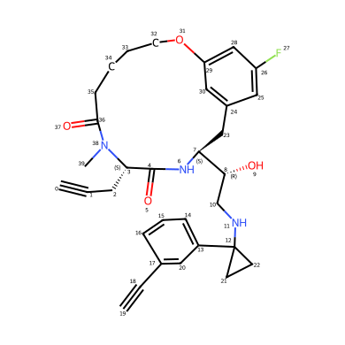 C#CC[C@H]1C(=O)N[C@H]([C@H](O)CNC2(c3cccc(C#C)c3)CC2)Cc2cc(F)cc(c2)OCCCCC(=O)N1C